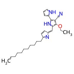 C=CCCCCCCCCCC1=N/C(=C/c2[nH]c(-c3ccc[nH]3)c(C#N)c2OCC)C=C1